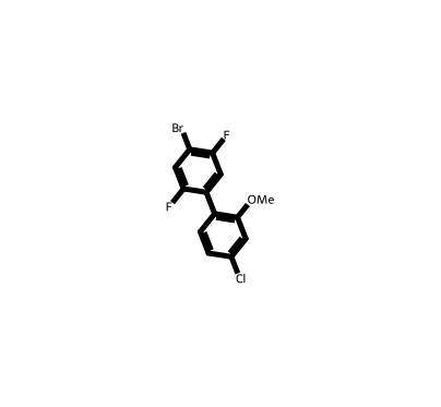 COc1cc(Cl)ccc1-c1cc(F)c(Br)cc1F